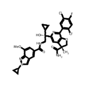 COc1cc(C(=O)NC[C@](O)(c2cc3c(c(-c4cc(Cl)c(F)cc4Cl)n2)OC[C@]3(C)C(N)=O)C2CC2)cc2cn(C3CC3)nc12